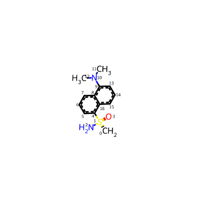 C=S(N)(=O)c1cccc2c(N(C)C)cccc12